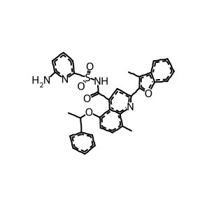 Cc1c(-c2cc(C(=O)NS(=O)(=O)c3cccc(N)n3)c3c(OC(C)c4ccccc4)ccc(C)c3n2)oc2ccccc12